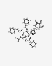 C=C[C@]1(OCC(=C)C)O[C@H](COCc2ccccc2)[C@H](OCc2ccccc2)[C@H](n2cc(-c3cc(F)c(F)c(F)c3)nn2)[C@H]1OCc1ccccc1